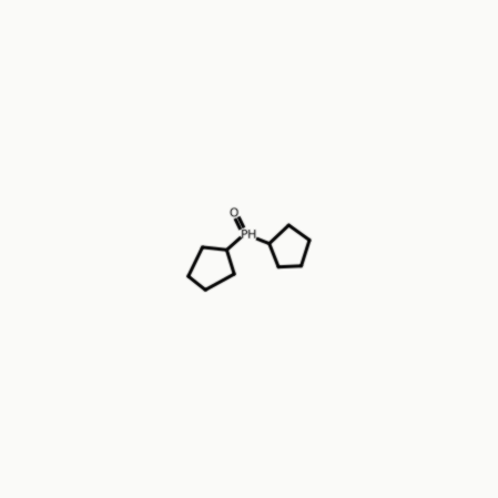 O=[PH](C1CCCC1)C1CCCC1